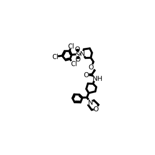 O=C(COCC1CCCN(S(=O)(=O)c2c(Cl)cc(Cl)cc2Cl)C1)NC1CCC(C(c2ccccc2)N2CCOCC2)CC1